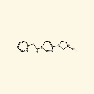 N[C@@H]1CCN(C2=CCN(NCc3ccccn3)C=N2)C1